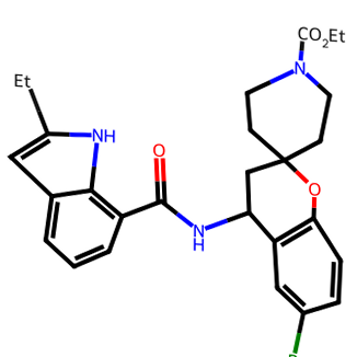 CCOC(=O)N1CCC2(CC1)CC(NC(=O)c1cccc3cc(CC)[nH]c13)c1cc(Br)ccc1O2